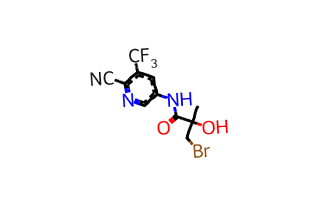 CC(O)(CBr)C(=O)Nc1cnc(C#N)c(C(F)(F)F)c1